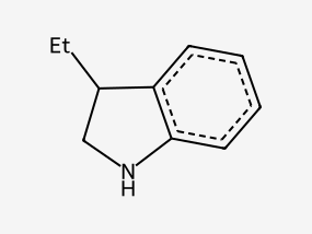 [CH2]CC1CNc2ccccc21